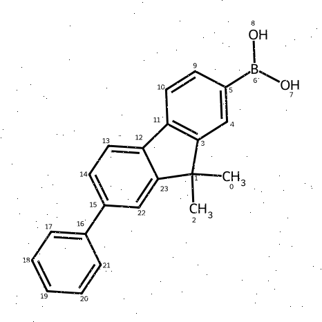 CC1(C)c2cc(B(O)O)ccc2-c2ccc(-c3ccccc3)cc21